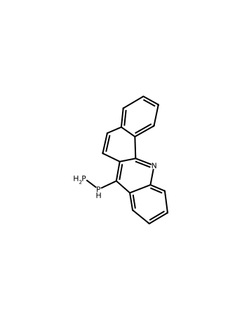 PPc1c2ccccc2nc2c1ccc1ccccc12